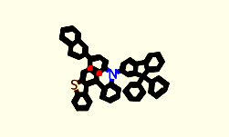 c1ccc(C2(c3ccccc3)c3ccccc3-c3ccc(N(c4ccc(-c5ccc6ccccc6c5)cc4)c4ccccc4-c4cccc5sc6ccccc6c45)cc32)cc1